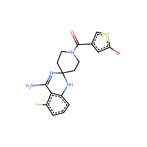 NC1=NC2(CCN(C(=O)c3csc(Br)c3)CC2)Nc2cccc(F)c21